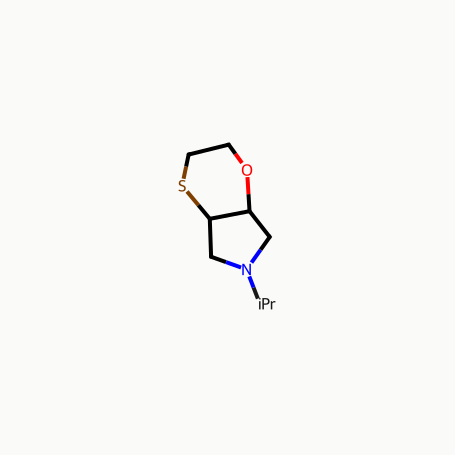 CC(C)N1CC2OCCSC2C1